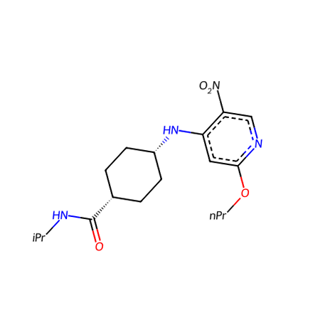 CCCOc1cc(N[C@H]2CC[C@@H](C(=O)NC(C)C)CC2)c([N+](=O)[O-])cn1